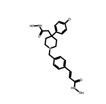 O=C(/C=C/c1ccc(CN2CCC(CC(=O)NO)(c3ccc(Cl)cc3)CC2)cc1)NO